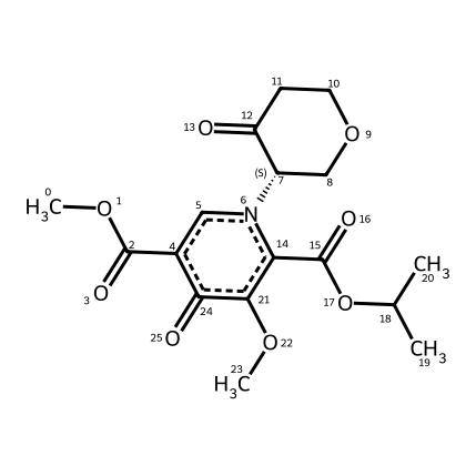 COC(=O)c1cn([C@H]2COCCC2=O)c(C(=O)OC(C)C)c(OC)c1=O